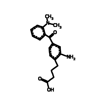 CN(C)c1ccccc1C(=O)c1ccc(CCCC(=O)O)c(N)c1